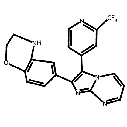 FC(F)(F)c1cc(-c2c(-c3ccc4c(c3)NCCO4)nc3ncccn23)ccn1